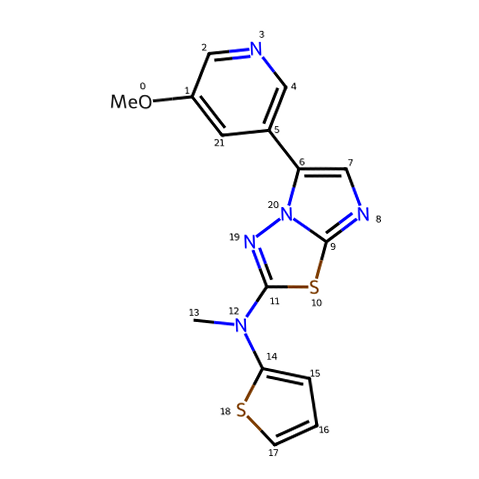 COc1cncc(-c2cnc3sc(N(C)c4cccs4)nn23)c1